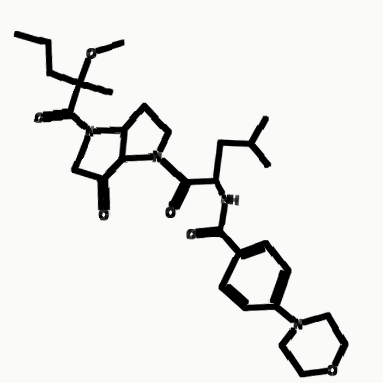 CCCC(C)(OC)C(=O)N1CC(=O)C2C1CCN2C(=O)C(CC(C)C)NC(=O)c1ccc(N2CCOCC2)cc1